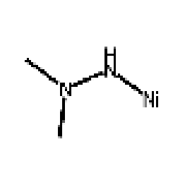 CN(C)[NH][Ni]